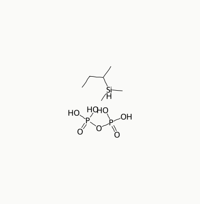 CCC(C)[SiH](C)C.O=P(O)(O)OP(=O)(O)O